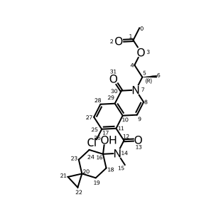 CC(=O)OC[C@@H](C)n1ccc2c(C(=O)N(C)C3(O)CCC4(CC4)CC3)c(Cl)ccc2c1=O